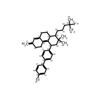 C=C1C=C2CCC3C(=C2CC1)C(c1ccc(-c2ccc(CC)cc2)cc1)CC(C)(C)C3CCCC(C)(F)C(F)(F)F